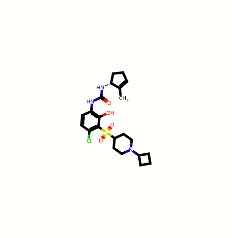 CC1=CCC[C@H]1NC(=O)Nc1ccc(Cl)c(S(=O)(=O)C2CCN(C3CCC3)CC2)c1O